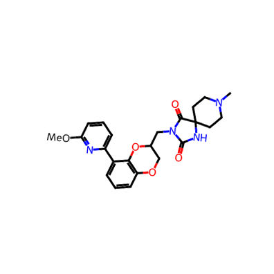 COc1cccc(-c2cccc3c2OC(CN2C(=O)NC4(CCN(C)CC4)C2=O)CO3)n1